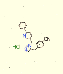 Cl.N#Cc1ccc(Cc2cncn2Cc2ccc(-c3ccccc3)nc2)cc1